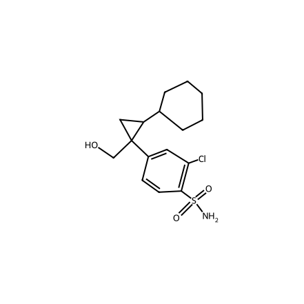 NS(=O)(=O)c1ccc(C2(CO)CC2C2CCCCC2)cc1Cl